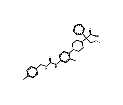 CCC(C(N)=O)(c1ccccc1)N1CCN(c2ccc(NC(=O)NCc3ccc(F)cc3)cc2F)CC1